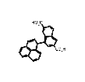 O=C(O)c1cc(C2C=Cc3cccc4cccc2c34)c2cc(C(=O)O)ccc2c1